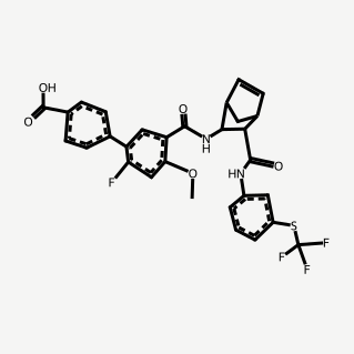 COc1cc(F)c(-c2ccc(C(=O)O)cc2)cc1C(=O)NC1C2C=CC(C2)C1C(=O)Nc1cccc(SC(F)(F)F)c1